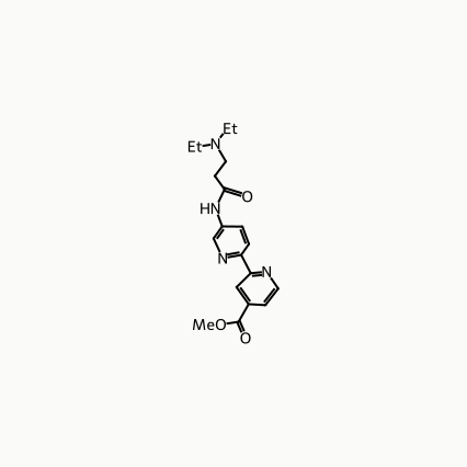 CCN(CC)CCC(=O)Nc1ccc(-c2cc(C(=O)OC)ccn2)nc1